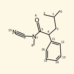 CC(C)CC(C(=O)N(C)C#N)c1c[c]ccc1